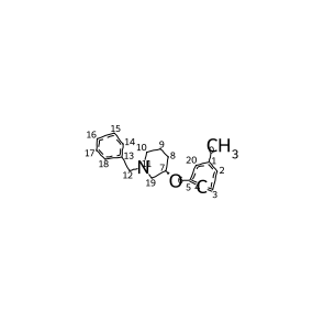 Cc1cccc(O[C@@H]2CCCN(Cc3ccccc3)C2)c1